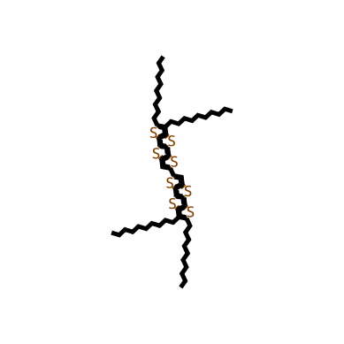 CCCCCCCCCCc1sc2c(sc3c4sc(-c5cc6sc7c8sc(CCCCCCCCCC)c(CCCCCCCCCC)c8sc7c6s5)cc4sc23)c1CCCCCCCCCC